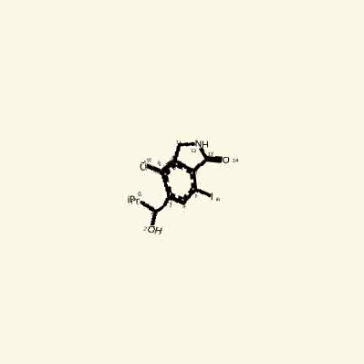 CC(C)C(O)c1cc(I)c2c(c1Cl)CNC2=O